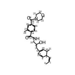 C/C=C\C1C=NC(CC(O)CNC(=O)c2ccc(C(=O)N3CCOCC3)cc2C)=CC1C